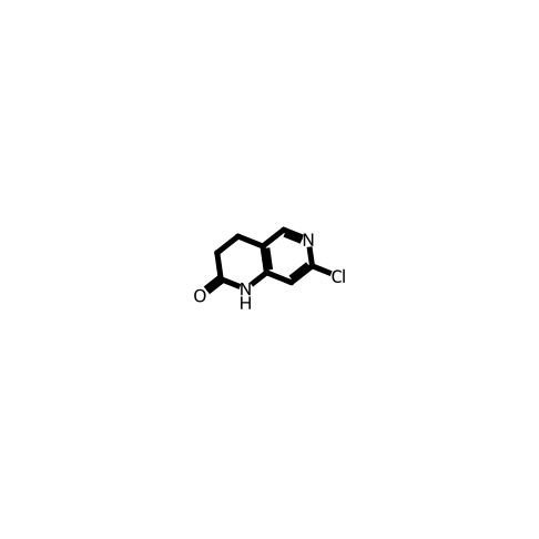 O=C1CCc2cnc(Cl)cc2N1